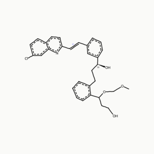 COCOC(CCO)c1ccccc1CC[C@H](O)c1cccc(/C=C/c2ccc3ccc(Cl)cc3n2)c1